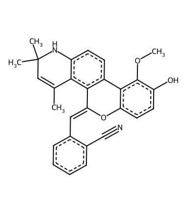 COc1c(O)ccc2c1-c1ccc3c(c1/C(=C/c1ccccc1C#N)O2)C(C)=CC(C)(C)N3